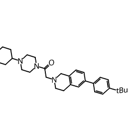 CC(C)(C)c1ccc(-c2ccc3c(c2)CCN(CC(=O)N2CCN(C4CCCCC4)CC2)C3)cc1